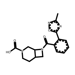 Cc1noc(-c2ccccc2C(=O)N2CC3CCN(C(=O)O)CC32)n1